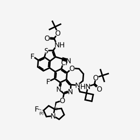 CC(C)(C)OC(=O)Nc1sc2c(F)ccc(-c3c(Cl)c4c5c(nc(OC[C@@]67CCCN6C[C@H](F)C7)nc5c3F)N(CC3(NC(=O)OC(C)(C)C)CCC3)CCCO4)c2c1C#N